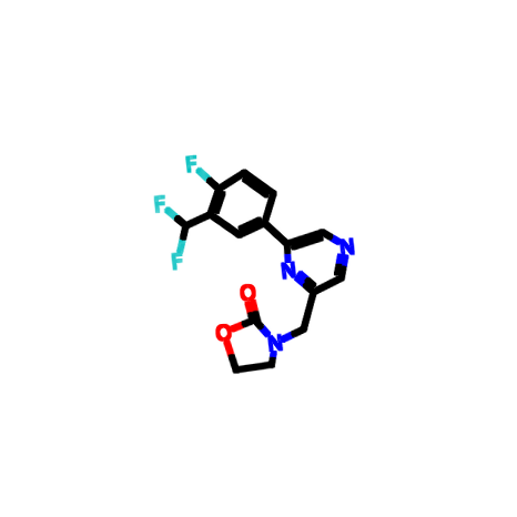 O=C1OCCN1Cc1cncc(-c2ccc(F)c(C(F)F)c2)n1